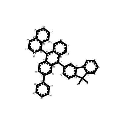 CC1(C)c2ccccc2-c2cc(-c3c4ccccc4c(-c4nccc5ccccc45)c4ccc(-c5ccccc5)cc34)ccc21